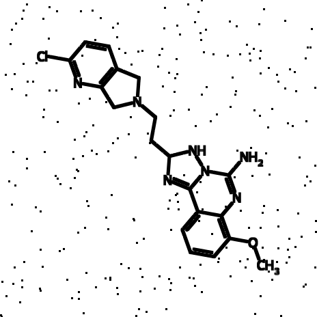 COc1cccc2c1N=C(N)N1NC(CCN3Cc4ccc(Cl)nc4C3)N=C21